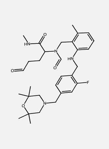 CNC(=O)C(CCC=O)N(C=O)Cc1c(C)cccc1NCc1ccc(CN2CC(C)(C)OC(C)(C)C2)cc1F